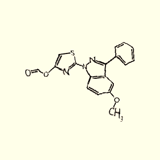 COc1ccc2c(c1)c(-c1ccccc1)nn2-c1nc(OC=O)cs1